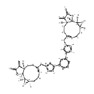 C=C1C(=O)O[C@H]2[C@H]1CC/C(Cn1cc(-c3cccc(-c4cn(C/C5=C/CC[C@@]6(C)O[C@H]6[C@H]6OC(=O)C(=C)[C@@H]6CC5)nn4)c3)nn1)=C\CC[C@@]1(C)O[C@@H]21